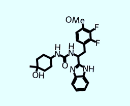 COc1ccc(CC(NC(=O)NC2CCC(C)(O)CC2)c2nc3ccccc3[nH]2)c(F)c1F